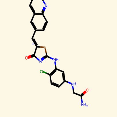 NC(=O)CNc1ccc(Cl)c(NC2=NC(=O)/C(=C/c3ccc4ncccc4c3)S2)c1